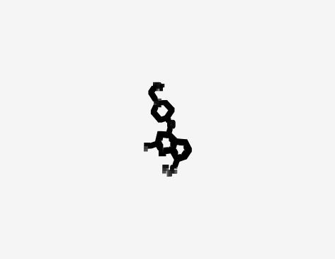 CC(C)CN1CCC(Oc2cc(F)nc3c(C(F)(F)F)cccc23)CC1